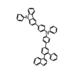 c1ccc(-c2cc(-c3ccc(N(c4ccccc4)c4ccc(-c5ccc6c(c5)c5ccccc5n6-c5ccccc5)cc4)cc3)ccc2-c2cccc3ccccc23)cc1